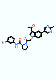 CC(=O)c1cn(CC(=O)N2C[C@H](F)C[C@H]2C(=O)Nc2cccc(Br)c2)c2ccc(-c3cnc(C)nc3)cc12